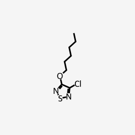 CCCCCCOc1nsnc1Cl